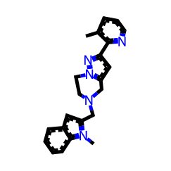 Cc1cccnc1-c1cc2n(n1)CCN(Cc1cc3ccccc3n1C)C2